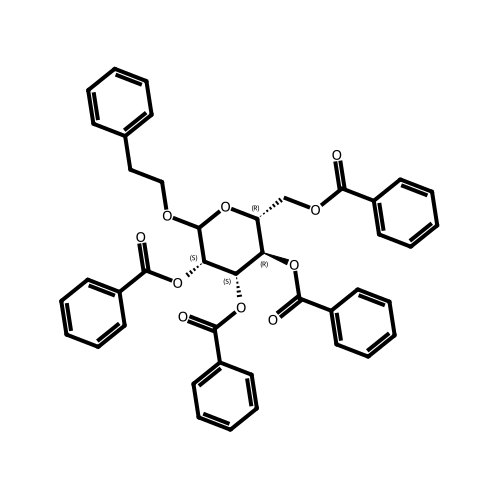 O=C(OC[C@H]1OC(OCCc2ccccc2)[C@@H](OC(=O)c2ccccc2)[C@@H](OC(=O)c2ccccc2)[C@@H]1OC(=O)c1ccccc1)c1ccccc1